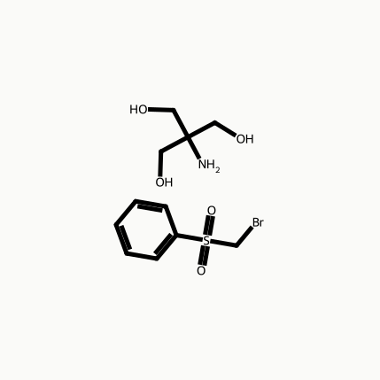 NC(CO)(CO)CO.O=S(=O)(CBr)c1ccccc1